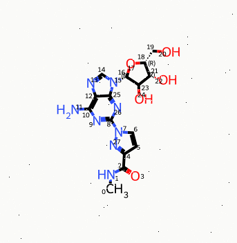 CNC(=O)c1ccn(-c2nc(N)c3ncn([C@@H]4O[C@H](CO)[C@H](O)C4O)c3n2)n1